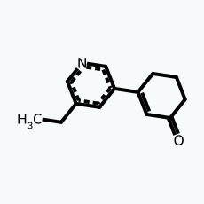 CCc1cncc(C2=CC(=O)CCC2)c1